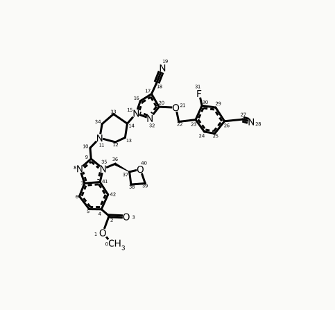 COC(=O)c1ccc2nc(CN3CCC(n4cc(C#N)c(OCc5ccc(C#N)cc5F)n4)CC3)n(C[C@@H]3CCO3)c2c1